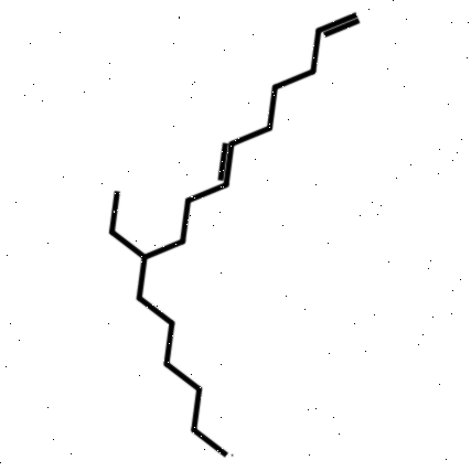 [CH2]CCCCCC(CC)CCC=CCCCC=C